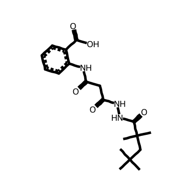 CC(C)(C)CC(C)(C)C(=O)NNC(=O)CC(=O)Nc1ccccc1C(=O)O